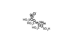 Cc1ccc(S(=O)(=O)Oc2cc(S(=O)(=O)O)cc3c(S(=O)(=O)O)c(N=Nc4cc(S(=O)(=O)O)c5cc(S(=O)(=O)O)cc(O)c5c4N)ccc23)cc1